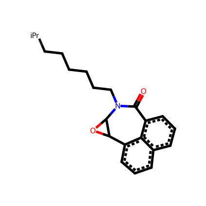 CC(C)CCCCCCN1C(=O)c2cccc3cccc(c23)C2OC21